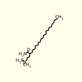 CCCCCCCCCCCCCCCCCCCCC(CCCN(C)C)C(N)=O